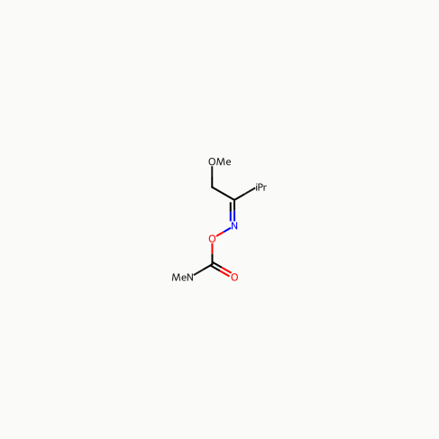 CNC(=O)ON=C(COC)C(C)C